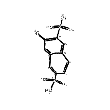 [O]c1cc2cc(S(=O)(=O)O)ccc2cc1S(=O)(=O)O